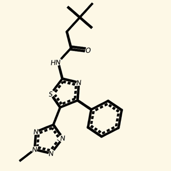 Cn1nnc(-c2sc(NC(=O)CC(C)(C)C)nc2-c2ccccc2)n1